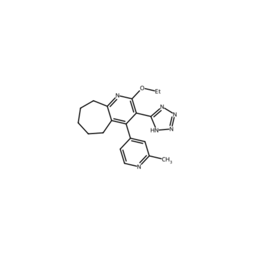 CCOc1nc2c(c(-c3ccnc(C)c3)c1-c1nnn[nH]1)CCCCC2